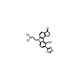 CCN(CC)CCn1c2ccc(-c3nnco3)c(O)c2c2c3c(ccc21)C(=O)CC3